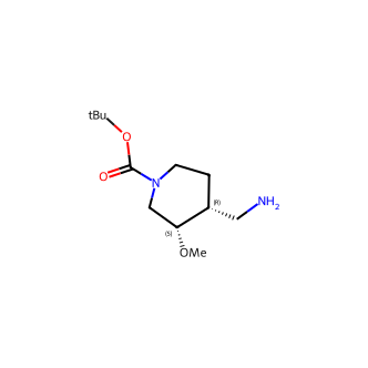 CO[C@@H]1CN(C(=O)OC(C)(C)C)CC[C@@H]1CN